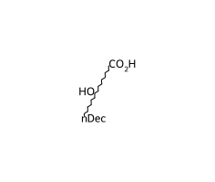 CCCCCCCCCCCCCCCCC(O)CCCCCCCCC(=O)O